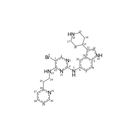 Brc1cnc(Nc2ccc3[nH]cc(C4CCNCC4)c3c2)nc1NCCc1ccccn1